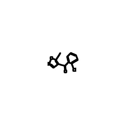 Cc1oncc1C(=O)c1ccccc1Cl